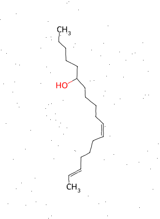 C/C=C/CCC/C=C\CCCCC(O)CCCCC